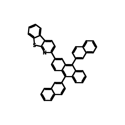 c1ccc2cc(-c3c4ccccc4c(-c4ccc5ccccc5c4)c4cc(-c5ccc6c(n5)sc5ccccc56)ccc34)ccc2c1